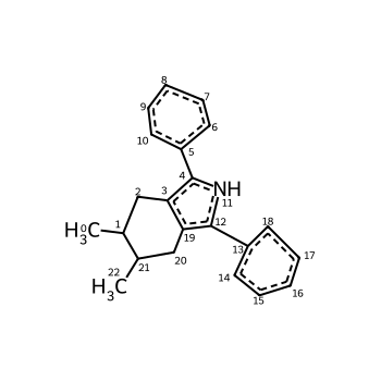 CC1Cc2c(-c3ccccc3)[nH]c(-c3ccccc3)c2CC1C